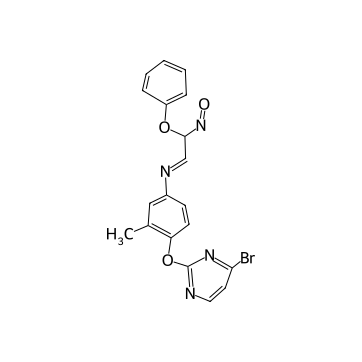 Cc1cc(N=CC(N=O)Oc2ccccc2)ccc1Oc1nccc(Br)n1